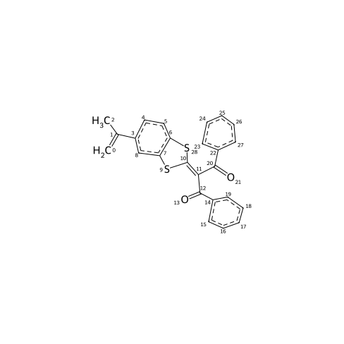 C=C(C)c1ccc2c(c1)SC(=C(C(=O)c1ccccc1)C(=O)c1ccccc1)S2